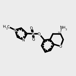 Cn1cnc(S(=O)(=O)Oc2cccc3c2C[C@H](N)CO3)c1